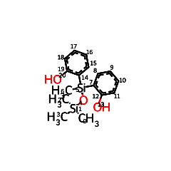 C[Si](C)(C)O[Si](C)(c1ccccc1O)c1ccccc1O